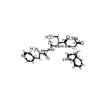 CC[C@H](NC(=O)NNC(=O)[C@H](N)Cc1ccncc1)C(=O)N[C@@H](Cc1c[nH]c2ccccc12)C(N)=O